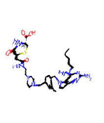 CCCCCNc1nc(N)nc2ccn(Cc3ccc(CN4CCN(CCNC(=O)CC5SC[C@@H](C(=O)O)NC5=O)CC4)cc3C)c12